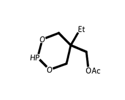 CCC1(COC(C)=O)COPOC1